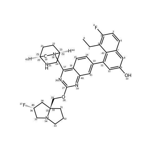 CCc1c(F)ccc2cc(O)cc(-c3ccc4c(N5C[C@@H]6CC[C@H]5CN6)nc(OC[C@@]56CCCN5C[C@H](F)C6)nc4c3)c12